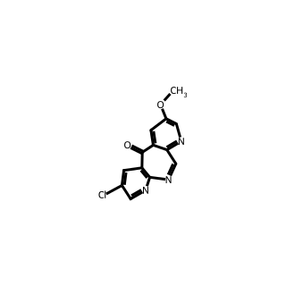 COc1cnc2cnc3ncc(Cl)cc3c(=O)c2c1